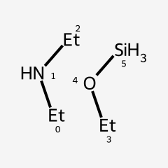 CCNCC.CCO[SiH3]